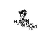 Cn1cnc(C(=O)Nc2ccc(Cl)cc2)c1NC(=O)CCC(F)(C(F)(F)F)C(F)(F)F